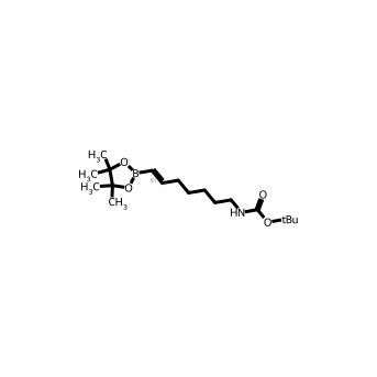 CC(C)(C)OC(=O)NCCCCC/C=C/B1OC(C)(C)C(C)(C)O1